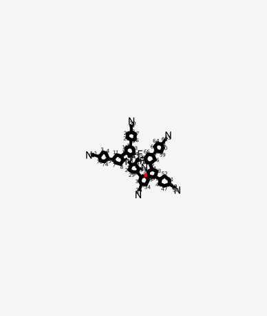 N#Cc1ccc(-c2ccc3c(c2)c2cc(-c4ccc(C#N)cc4)ccc2n3-c2ccc(-c3cccc(C#N)c3)c(-n3c4ccc(-c5ccc(C#N)cc5)cc4c4cc(-c5ccc(C#N)cc5)ccc43)c2C(F)(F)F)cc1